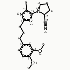 COc1ccc(CCCc2nc(C)c(N3CCCC3C#N)o2)cc1OC